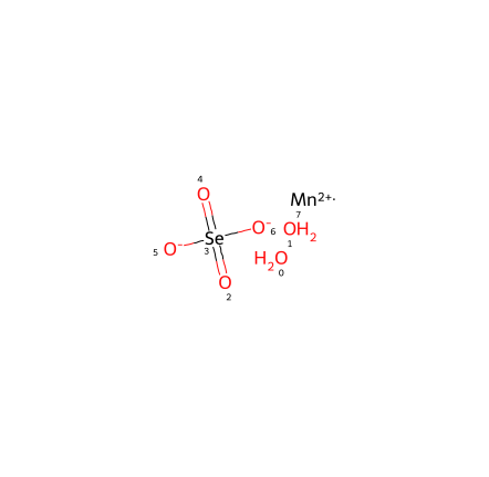 O.O.O=[Se](=O)([O-])[O-].[Mn+2]